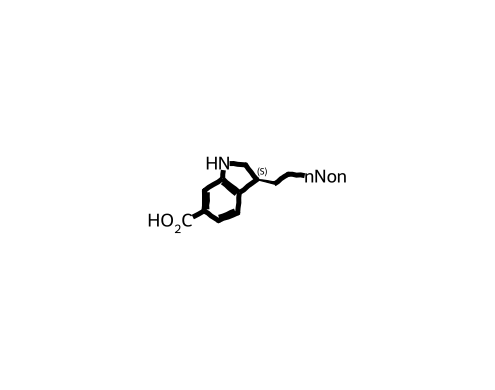 CCCCCCCCCCC[C@@H]1CNc2cc(C(=O)O)ccc21